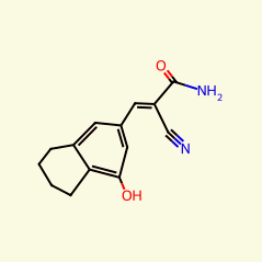 N#C/C(=C\c1cc(O)c2c(c1)CCCC2)C(N)=O